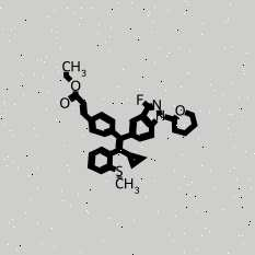 CCOC(=O)C=Cc1ccc(/C(=C(\c2ccccc2SC)C2CC2)c2ccc3c(c2)c(F)nn3C2CCCCO2)cc1